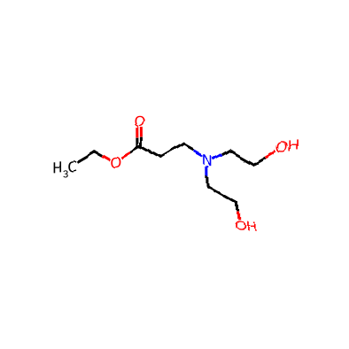 CCOC(=O)CCN(CCO)CCO